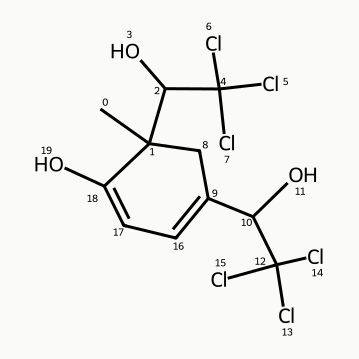 CC1(C(O)C(Cl)(Cl)Cl)CC(C(O)C(Cl)(Cl)Cl)=CC=C1O